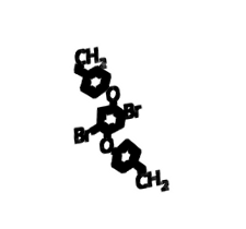 C=Cc1ccc(Oc2cc(Br)c(Oc3ccc(C=C)cc3)cc2Br)cc1